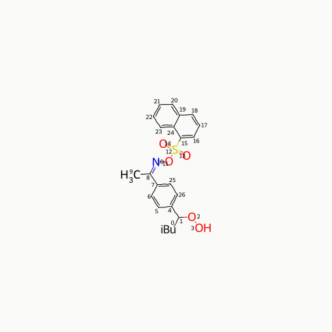 CCC(C)C(OO)c1ccc(/C(C)=N\OS(=O)(=O)c2cccc3ccccc23)cc1